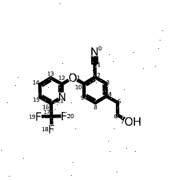 N#Cc1cc(CCO)ccc1Oc1cccc(C(F)(F)F)n1